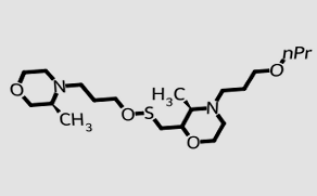 CCCOCCCN1CCOC(CSOCCCN2CCOC[C@@H]2C)[C@H]1C